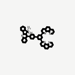 CC1(C)c2ccccc2-c2nc3ccccc3c(-c3ccc(-c4cc(-c5ccc6ccc7cccnc7c6n5)cc(-c5ccc6ccc7cccnc7c6n5)c4)cc3)c21